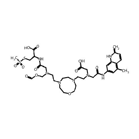 C=C1C=Cc2c(C)cc(NC(=O)CN(CCN3CCOCCN(CCN(COC=O)CC(=O)NC(CSS(C)(=O)=O)C(=O)O)CC3)CC(=O)O)cc2N1